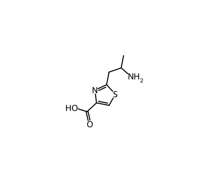 CC(N)Cc1nc(C(=O)O)cs1